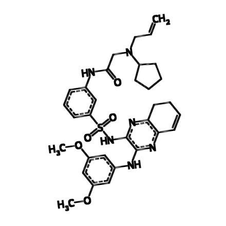 C=CCN(CC(=O)Nc1cccc(S(=O)(=O)Nc2nc3c(nc2Nc2cc(OC)cc(OC)c2)C=CCC3)c1)C1CCCC1